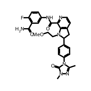 COCCN1c2c(ccnc2C(=O)Nc2ccc(F)c(C(N)=O)c2)CC1c1ccc(-n2c(C)nn(C)c2=O)cc1